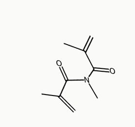 C=C(C)C(=O)N(C)C(=O)C(=C)C